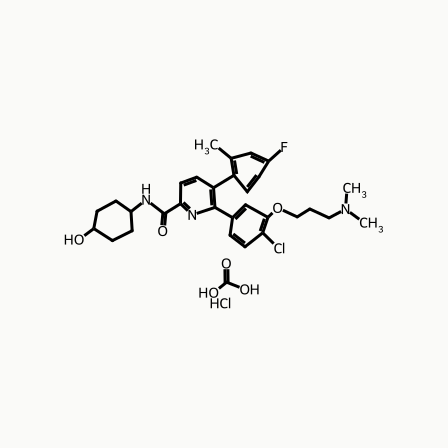 Cc1cc(F)ccc1-c1ccc(C(=O)NC2CCC(O)CC2)nc1-c1ccc(Cl)c(OCCCN(C)C)c1.Cl.O=C(O)O